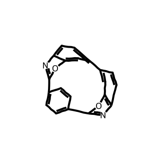 c1cc2nc3oc2cc1-c1ccc2nc(oc2c1)-c1ccc-3cc1